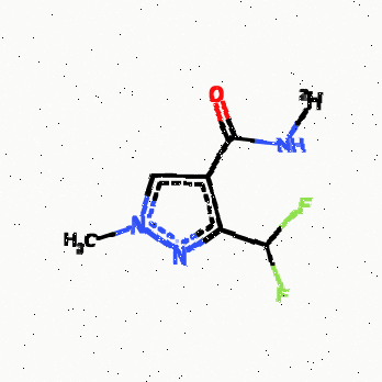 [2H]NC(=O)c1cn(C)nc1C(F)F